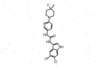 O=C(Nc1ccc(N2CCC(F)(F)CC2)nc1)Nc1c[nH]c2cc(Cl)c(Cl)cc12